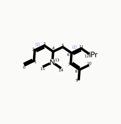 C=C/C=C\C(C/C(C=C(C)C)=C/C(C)C)N(C)C